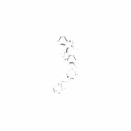 O=C1Nc2ccccc2/C1=C1\OCc2cc(CN3CCN(CCN4CCOCC4)CC3)ccc21